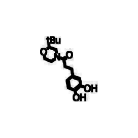 CC(C)(C)C1CN(C(=O)CCc2ccc(O)c(O)c2)CCO1